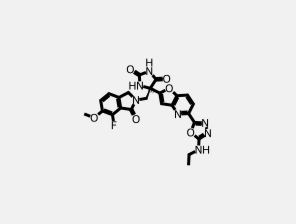 CCNc1nnc(-c2ccc3oc([C@]4(CN5Cc6ccc(OC)c(F)c6C5=O)NC(=O)NC4=O)cc3n2)o1